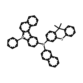 CC1(C)c2ccccc2Sc2cc(N(c3ccc4ccccc4c3)c3ccc4c(c3)c3c5ccccc5ccc3n4-c3ccccc3)ccc21